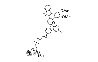 COc1cc2c3c(c4c(c2cc1OC)-c1ccccc1C4(C)C)C=CC(c1ccc(F)cc1)(c1ccc(OCCOC(C)(C)CC[Si](OC(C)(C)C)(OC(C)(C)C)OC(C)(C)C)cc1)O3